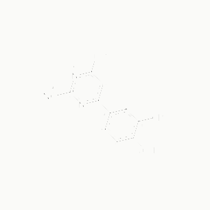 CCCc1cc(-c2ccc(C)c(Cl)c2)nc(C#N)n1